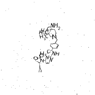 C[C@H](Nc1nccc(N2C(=O)OC[C@@H]2C2CC2)n1)c1ccc(CN2CCC(C)(N)C(C)(C)C2)cc1